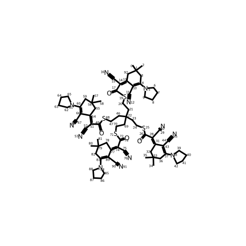 CC1(C)CC(N2CCCC2)=C(C#N)/C(=C(/C#N)C(=O)SCCC(CCSC(=O)/C(C#N)=C2\CC(C)(C)CC(N3CCCC3)=C2C#N)(CCSC(=O)/C(C#N)=C2\CC(C)(C)CC(N3CCCC3)=C2C#N)CCSC(=O)/C(C#N)=C2\CC(C)(C)CC(N3CCCC3)=C2C#N)C1